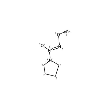 CCCO/N=[N+](\[O-])N1CCCC1